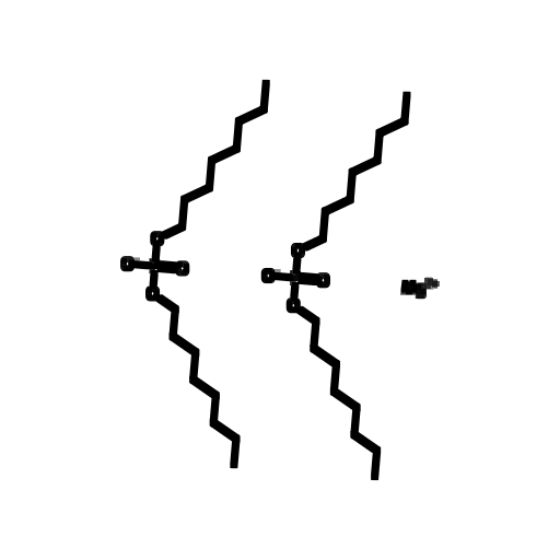 CCCCCCCCOP(=O)([O-])OCCCCCCCC.CCCCCCCCOP(=O)([O-])OCCCCCCCC.[Mg+2]